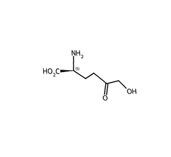 N[C@@H](CCC(=O)CO)C(=O)O